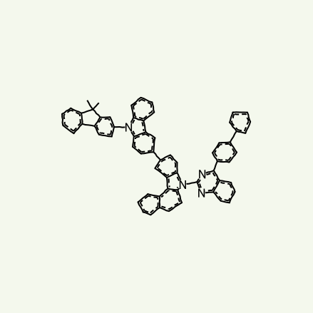 CC1(C)c2ccccc2-c2ccc(-n3c4ccccc4c4cc(-c5ccc6c(c5)c5c7ccccc7ccc5n6-c5nc(-c6ccc(-c7ccccc7)cc6)c6ccccc6n5)ccc43)cc21